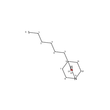 ICCCCCC12CCN(CC1)NC2